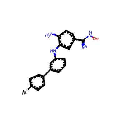 N#Cc1ccc(-c2cccc(Nc3cc(C(=N)NO)ccc3N)c2)cc1